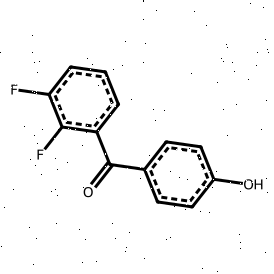 O=C(c1ccc(O)cc1)c1cccc(F)c1F